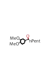 [CH2]CCCCC(=O)c1ccc(OC)c(OC)c1